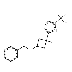 FC(F)(F)c1csc(C2(F)CC(OCc3ccccc3)C2)n1